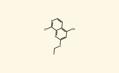 CCOc1cc(O)c2ccnc(Cl)c2n1